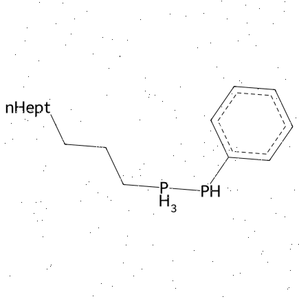 CCCCCCCCCC[PH3]Pc1ccccc1